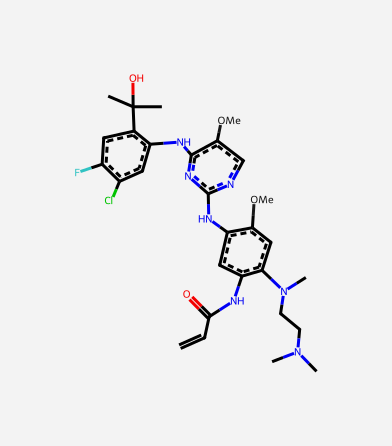 C=CC(=O)Nc1cc(Nc2ncc(OC)c(Nc3cc(Cl)c(F)cc3C(C)(C)O)n2)c(OC)cc1N(C)CCN(C)C